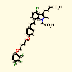 Cc1c(CCCC(=O)O)c2c(F)ccc(C=Cc3ccc(OCCCCOc4ccc(F)c(F)c4F)cc3)c2n1CC(=O)O